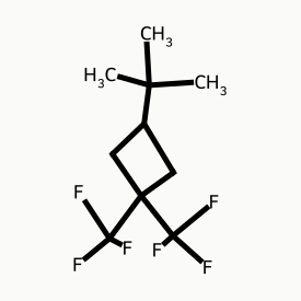 CC(C)(C)C1CC(C(F)(F)F)(C(F)(F)F)C1